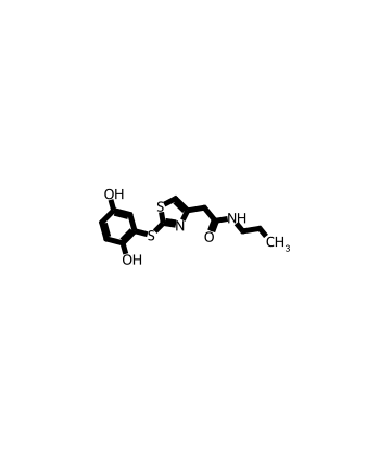 CCCNC(=O)Cc1csc(Sc2cc(O)ccc2O)n1